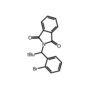 CC(C)(C)C(c1ccccc1Br)N1C(=O)c2ccccc2C1=O